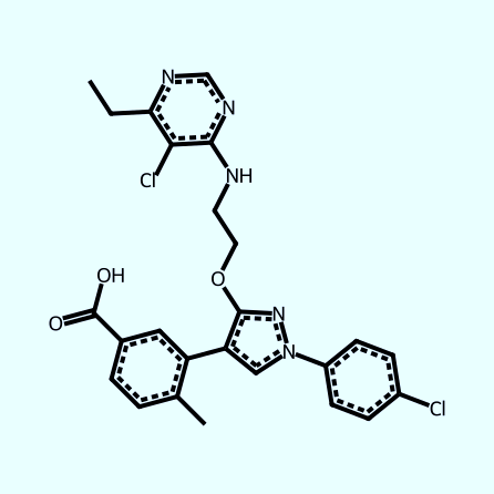 CCc1ncnc(NCCOc2nn(-c3ccc(Cl)cc3)cc2-c2cc(C(=O)O)ccc2C)c1Cl